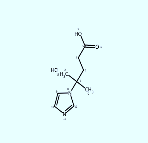 CC(C)(CCC(=O)O)n1ccnc1.Cl